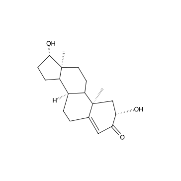 C[C@]12C[C@H](O)C(=O)C=C1CC[C@@H]1C2CC[C@@]2(C)C1CC[C@@H]2O